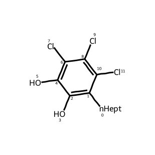 CCCCCCCc1c(O)c(O)c(Cl)c(Cl)c1Cl